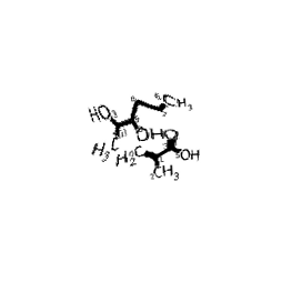 C=C(C)C(=O)O.CCCC(O)C(C)O